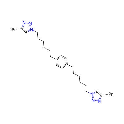 CC(C)c1cn(CCCCCCc2ccc(CCCCCCn3cc(C(C)C)nn3)cc2)nn1